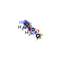 C[C@H]1[C@@H](C(=O)Nc2cc(F)c(F)c(F)c2)CCN1C(=O)C(=O)NC(C)(CC(F)F)c1c[nH]nn1